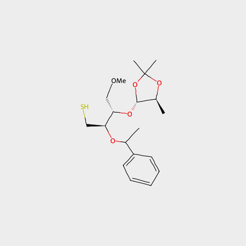 COC[C@H](O[C@@H]1OC(C)(C)O[C@H]1C)[C@H](CS)OC(C)c1ccccc1